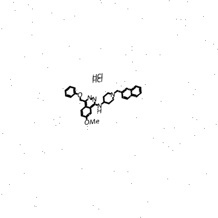 COc1ccc2c(COc3ccccc3)nnc(NC3CCN(Cc4ccc5ccccc5c4)CC3)c2c1.Cl.Cl